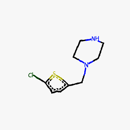 Clc1ccc(CN2CCNCC2)s1